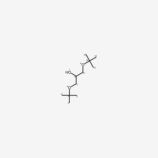 CC(C)(C)OCC(O)COC(C)(C)C